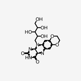 O=c1nc2n(CC(O)C(O)C(O)CO)c3cc4c(cc3nc-2c(=O)[nH]1)OCCO4